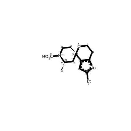 CCc1cc2c(s1)CCO[C@@]21CCN(C(=O)O)[C@@H](C)C1